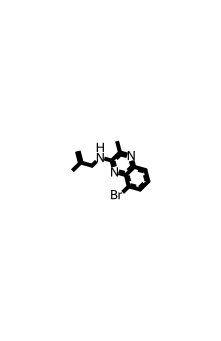 C=C(C)CNc1nc2c(Br)cccc2nc1C